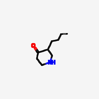 CCCCC1CNCCC1=O